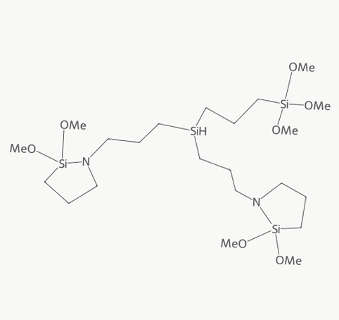 CO[Si](CCC[SiH](CCCN1CCC[Si]1(OC)OC)CCCN1CCC[Si]1(OC)OC)(OC)OC